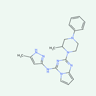 Cc1cc(Nc2nc(N3CCN(c4[c]cccc4)CC3C)nc3cccn23)n[nH]1